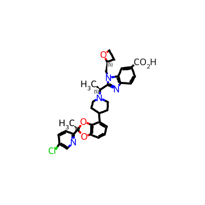 C[C@@H](c1nc2ccc(C(=O)O)cc2n1C[C@@H]1CCO1)N1CCC(c2cccc3c2O[C@](C)(c2ccc(Cl)cn2)O3)CC1